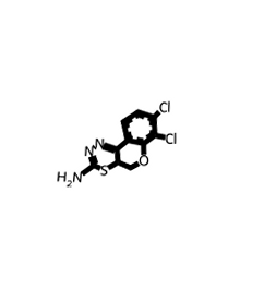 NC1=NN=C2c3ccc(Cl)c(Cl)c3OCC2S1